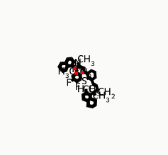 C=C(/C=C/C1=C(Sc2c(F)c(F)cc(F)c2F)C(=C/C=C2/N(C)c3ccc4ccccc4c3C2(C)C)/CCC1)C(C)(C)c1c(C)ccc2ccccc12